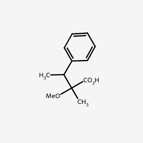 COC(C)(C(=O)O)C(C)c1ccccc1